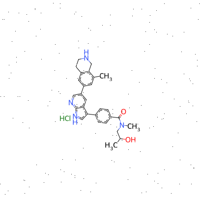 Cc1cc(-c2cnc3[nH]cc(-c4ccc(C(=O)N(C)CC(C)O)cc4)c3c2)cc2c1CNCC2.Cl